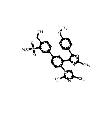 Cc1nc(-c2cc(-c3ccc(CO)c(S(C)(=O)=O)c3)ccc2-n2cc(C(F)(F)F)nc2C)c(-c2ccc(OC(F)(F)F)cc2)o1